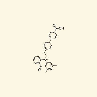 Cc1cc([C@@H](CCc2ccc(-c3ccc(C(=O)O)cc3)cc2)c2ccccc2C=O)cc(C)n1